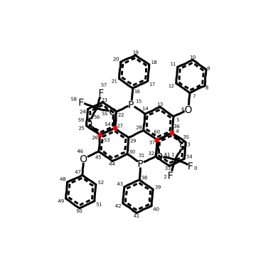 FC1(F)Oc2c(Oc3ccccc3)cc(P(c3ccccc3)c3ccccc3)c(-c3c(P(c4ccccc4)c4ccccc4)cc(Oc4ccccc4)c4c3OC(F)(F)O4)c2O1